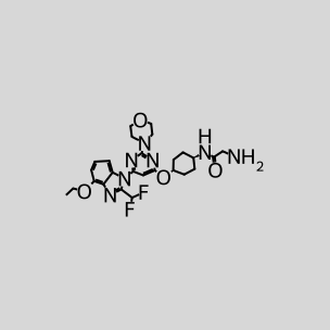 CCOc1cccc2c1nc(C(F)F)n2-c1cc(O[C@H]2CC[C@H](NC(=O)CN)CC2)nc(N2CCOCC2)n1